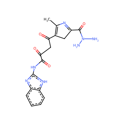 CC1=C(C(=O)CC(=O)C(=O)Nc2nc3ccccc3[nH]2)CC(C(=O)N(N)N)=N1